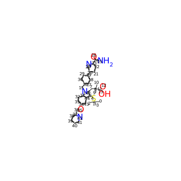 CC(C)(C)Sc1c(CC(C)(C)C(=O)O)n(Cc2ccc(-c3ccc(C(N)=O)nc3)cc2)c2ccc(OCc3ccccn3)cc12